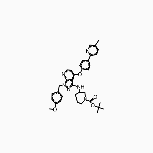 COc1ccc(Cn2nc(N[C@@H]3CCCN(C(=O)OC(C)(C)C)C3)c3c(Oc4ccc(-c5ccc(C)cn5)cc4)ccnc32)cc1